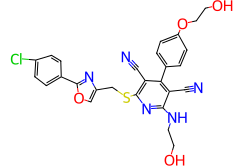 N#Cc1c(NCCO)nc(SCc2coc(-c3ccc(Cl)cc3)n2)c(C#N)c1-c1ccc(OCCO)cc1